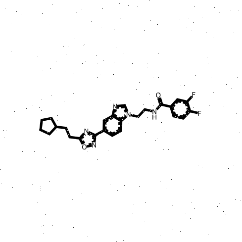 O=C(NCCn1cnc2cc(-c3noc(CCC4CCCC4)n3)ccc21)c1ccc(F)c(F)c1